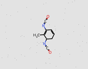 CC1=C(N=C=O)C=CCC1N=C=O